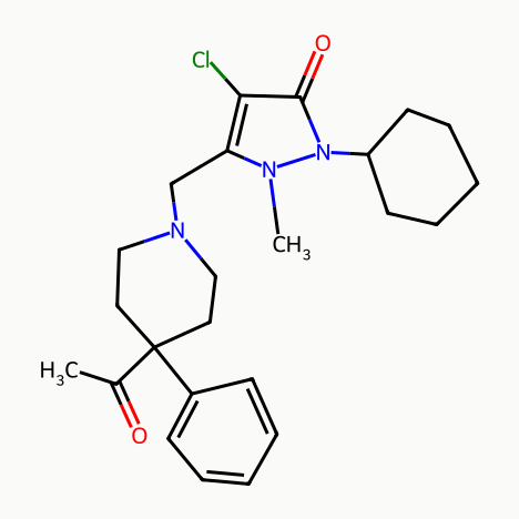 CC(=O)C1(c2ccccc2)CCN(Cc2c(Cl)c(=O)n(C3CCCCC3)n2C)CC1